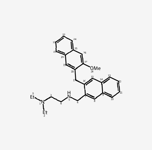 CCN(CC)CCNCc1cc2ccccc2cc1Cc1cc2ccccc2cc1OC